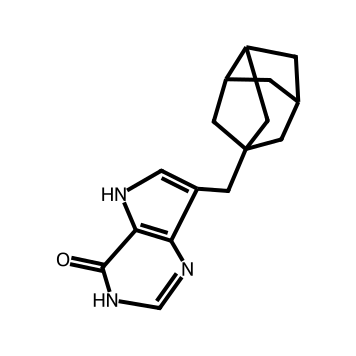 O=c1[nH]cnc2c(CC34CC5CC(C3)C(C5)C4)c[nH]c12